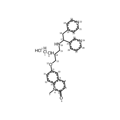 Cl.Cl.Cl.Cn1c(=O)ccc2cc(OCCCNC(Cc3ccncc3)c3cccnc3)ccc21